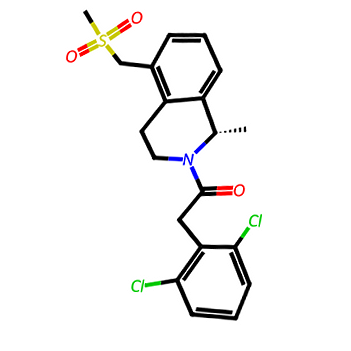 C[C@H]1c2cccc(CS(C)(=O)=O)c2CCN1C(=O)Cc1c(Cl)cccc1Cl